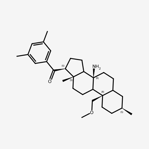 COC[C@]12CC[C@H](C)CC1CC[C@]1(N)C2CC[C@@]2(C)C1CC[C@@H]2C(=O)c1cc(C)cc(C)c1